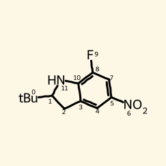 CC(C)(C)C1Cc2cc([N+](=O)[O-])cc(F)c2N1